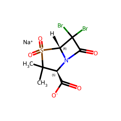 CC1(C)[C@H](C(=O)[O-])N2C(=O)C(Br)(Br)[C@H]2S1(=O)=O.[Na+]